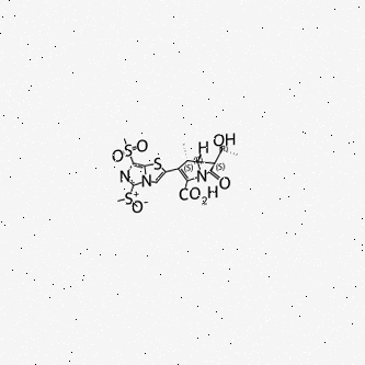 C[C@@H](O)[C@H]1C(=O)N2C(C(=O)O)=C(c3cn4c([S+](C)[O-])nc(S(C)(=O)=O)c4s3)[C@H](C)[C@H]12